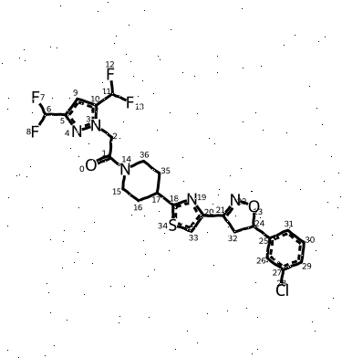 O=C(Cn1nc(C(F)F)cc1C(F)F)N1CCC(c2nc(C3=NOC(c4[c]c(Cl)ccc4)C3)cs2)CC1